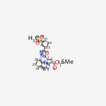 CSCOC(=O)c1cc(-c2nnc(-c3cccc(S(C)(=O)=O)c3)o2)n(-c2ccccc2C(C)C)n1